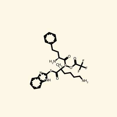 C[C@](CCCCN)(C(=O)Sc1nc2ccccc2[nH]1)N(OC(=O)C(F)(F)F)C(=O)[C@@H](N)CCc1ccccc1